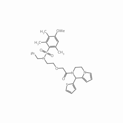 COc1cc(C)c(S(=O)(=O)N(CCOCC(=O)N2CCn3cccc3C2c2cccs2)CC(C)C)c(C)c1C